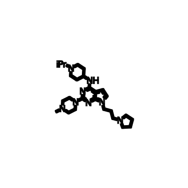 CC(C)N1CCC(Nc2nc(N3CCN(C)CC3)nc3c2ccn3CCCN2CCCC2)CC1